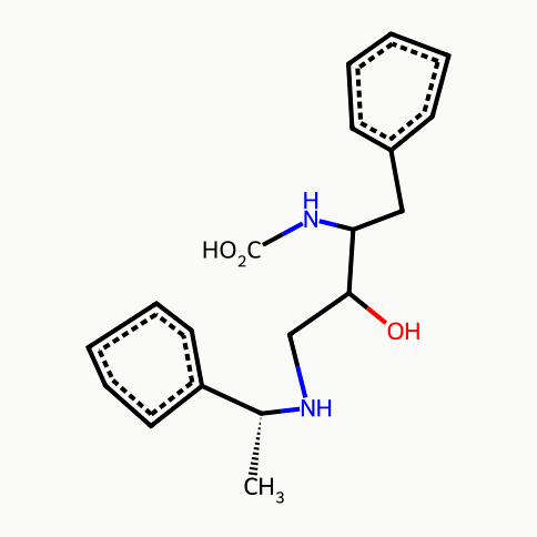 C[C@@H](NCC(O)C(Cc1ccccc1)NC(=O)O)c1ccccc1